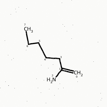 C=C(N)CCCCC